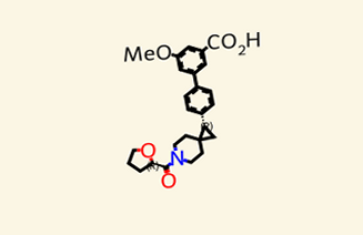 COc1cc(C(=O)O)cc(-c2ccc([C@@H]3CC34CCN(C(=O)[C@H]3CCCO3)CC4)cc2)c1